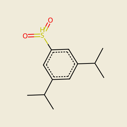 CC(C)c1cc(C(C)C)cc([SH](=O)=O)c1